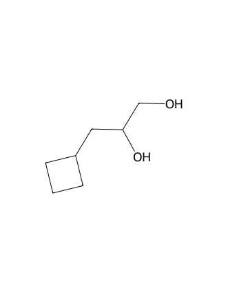 OCC(O)CC1CCC1